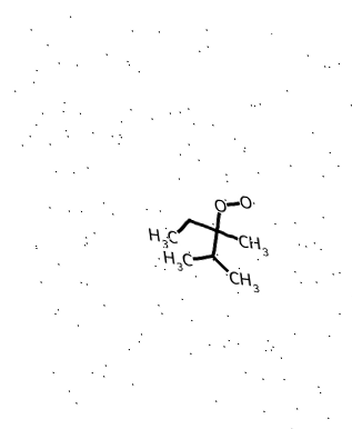 CCC(C)(O[O])[C](C)C